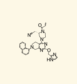 C=CC(=O)N1CCN(c2nc(OCc3ncc[nH]3)nc3c2CCN(c2cccc4ccccc24)C3)C[C@@H]1CC#N